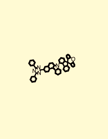 c1ccc(-c2nc(-c3ccccc3)nc(-c3ccc4c(ccc5c4c4ccccc4n5-c4cccc5c4-c4ccccc4C54c5ccccc5Oc5ccccc54)c3)n2)cc1